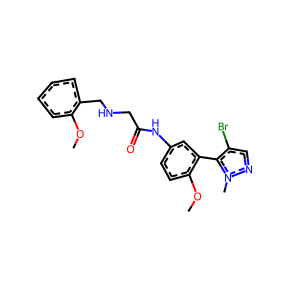 COc1ccccc1CNCC(=O)Nc1ccc(OC)c(-c2c(Br)cnn2C)c1